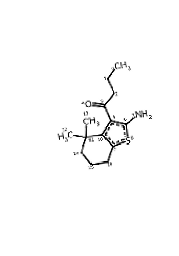 CCCC(=O)c1c(N)sc2c1C(C)(C)CCC2